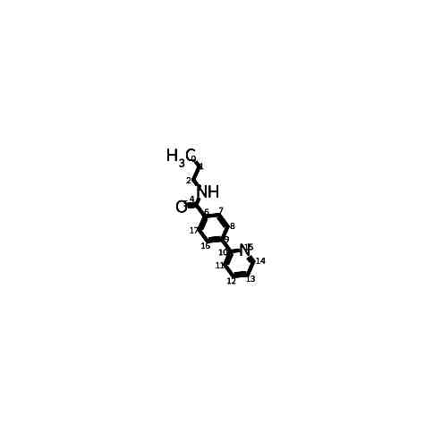 CCCNC(=O)c1ccc(-c2ccccn2)cc1